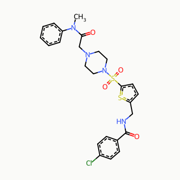 CN(C(=O)CN1CCN(S(=O)(=O)c2ccc(CNC(=O)c3ccc(Cl)cc3)s2)CC1)c1ccccc1